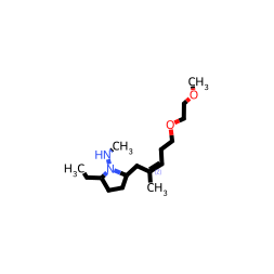 CCC1CCC(C/C(C)=C\CCOCCOC)N1NC